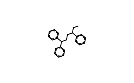 [CH2]CC(CCC(c1ccccc1)c1ccccc1)c1ccccc1